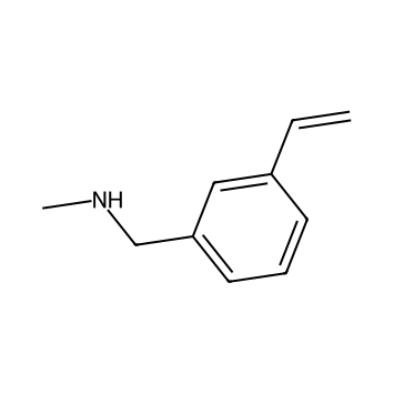 C=Cc1cccc(CNC)c1